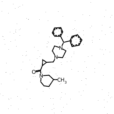 CC1CCCN(C(=O)C2CC2CN2CCN(C(c3ccccc3)c3ccccc3)CC2)C1